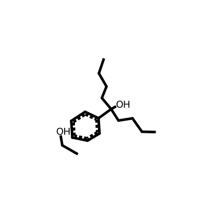 CCCCC(O)(CCCC)c1ccccc1.CCO